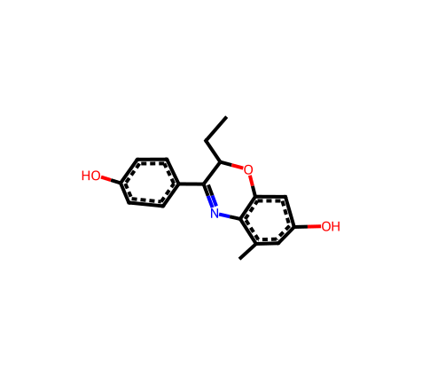 CCC1Oc2cc(O)cc(C)c2N=C1c1ccc(O)cc1